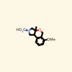 COc1cccc2c1COC1(C)CN(C(=O)O)CC21